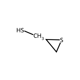 C1CS1.CS